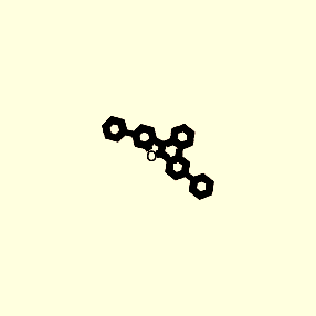 c1ccc(-c2ccc3c(c2)oc2c4ccc(-c5ccccc5)cc4c4ccccc4c32)cc1